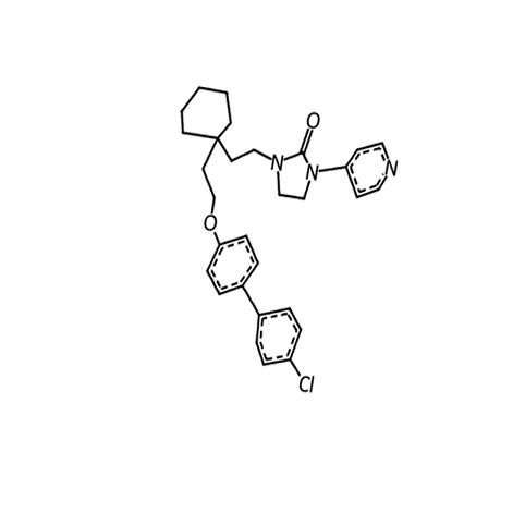 O=C1N(CCC2(CCOc3ccc(-c4ccc(Cl)cc4)cc3)CCCCC2)CCN1c1ccncc1